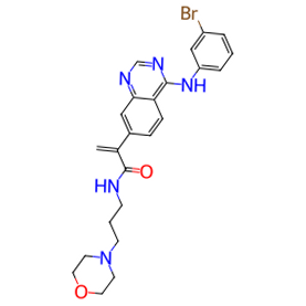 C=C(C(=O)NCCCN1CCOCC1)c1ccc2c(Nc3cccc(Br)c3)ncnc2c1